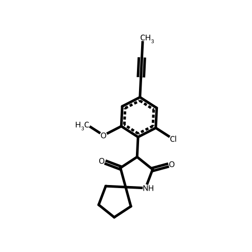 CC#Cc1cc(Cl)c(C2C(=O)NC3(CCCC3)C2=O)c(OC)c1